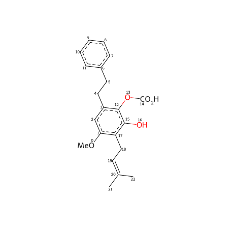 COc1cc(CCc2ccccc2)c(OC(=O)O)c(O)c1CC=C(C)C